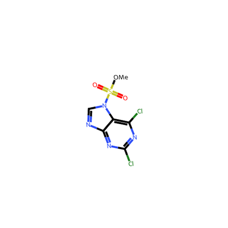 COS(=O)(=O)n1cnc2nc(Cl)nc(Cl)c21